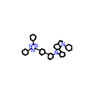 c1ccc(-c2nc(-c3ccccc3)nc(-c3ccc(-c4cccc(-n5c6ccccc6c6c7c(ccc65)ccn7-c5ccccc5)c4)cc3)n2)cc1